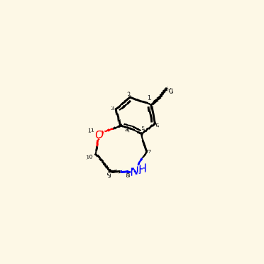 Cc1ccc2c(c1)CNCCO2